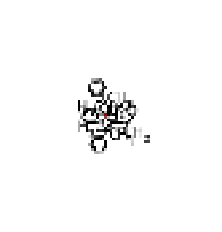 CC1COOc2c(C(C)(C)c3ccccc3)cc(C(C)(C)c3ccccc3)c1c2C(C)(C)c1ccccc1